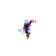 CN/C(OCC(F)(F)F)=C(C)\C=C(/N)CN(C)CC1=C(C=O)C=CNC1C(=O)NCCO